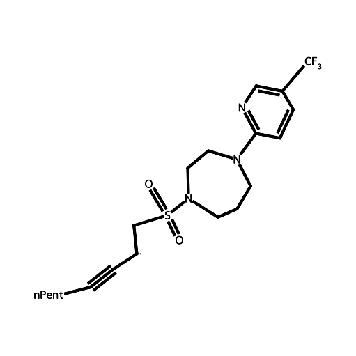 CCCCCC#C[CH]CS(=O)(=O)N1CCCN(c2ccc(C(F)(F)F)cn2)CC1